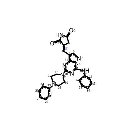 O=C1C/C(=C\c2cnn3c(Nc4ccccc4)nc(N4CCN(c5ccccn5)CC4)nc23)C(=O)N1